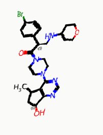 CC1C[C@H](O)c2ncnc(N3CCN(C(=O)[C@H](CNC4CCOCC4)c4ccc(Br)cc4)CC3)c21